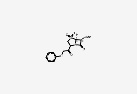 CO[C@H]1C(=O)N2C(C(=O)COc3ccccc3)CS(=O)(=O)[C@@H]12